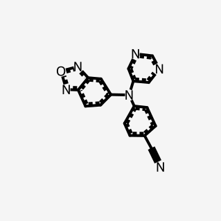 N#Cc1ccc(N(c2cncnc2)c2ccc3nonc3c2)cc1